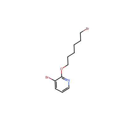 BrCCCCCCOc1ncccc1Br